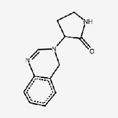 O=C1NCCC1N1C=Nc2ccccc2C1